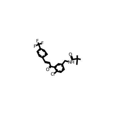 CC(C)(C)C(=O)NCc1ccc(Cl)c(C(=O)/C=C/c2ccc(C(F)(F)F)cc2)c1